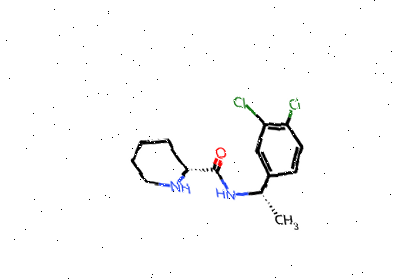 C[C@H](NC(=O)[C@H]1CCCCN1)c1ccc(Cl)c(Cl)c1